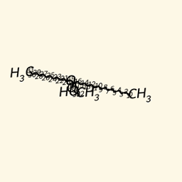 CCCCCCCCCCCCCCCCCC(=O)OCCCCCCCCCCCC.CCO